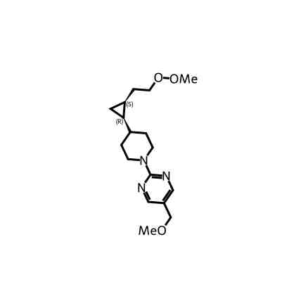 COCc1cnc(N2CCC([C@H]3C[C@H]3CCOOC)CC2)nc1